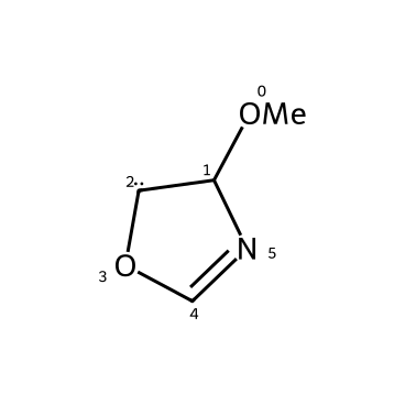 COC1[C]OC=N1